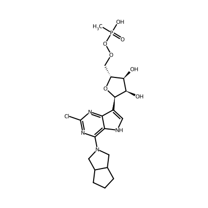 CP(=O)(O)OOC[C@H]1O[C@H](c2c[nH]c3c(N4CC5CCCC5C4)nc(Cl)nc23)[C@H](O)[C@@H]1O